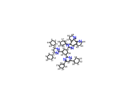 c1ccc(-c2cc(-c3ccccc3)nc(-c3cc(-c4nc(-c5ccccc5)cc(-c5ccccc5)n4)cc(-c4nc5c6cccnc6c6ncccc6c5n4-c4ccccc4)c3)n2)cc1